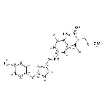 COCCC1C(=O)Nc2c(C)nc(NCc3cnn(Cc4ccc(C(F)(F)F)nc4)c3)nc2N1C